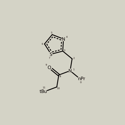 CCCN(Cc1nccs1)C(=O)CC(C)(C)C